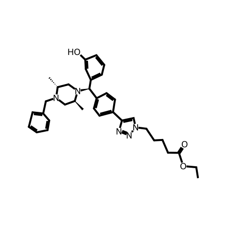 CCOC(=O)CCCCn1cc(-c2ccc([C@H](c3cccc(O)c3)N3C[C@@H](C)N(Cc4ccccc4)C[C@@H]3C)cc2)nn1